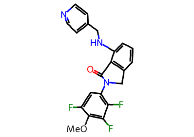 COc1c(F)cc(N2Cc3cccc(NCc4ccncc4)c3C2=O)c(F)c1F